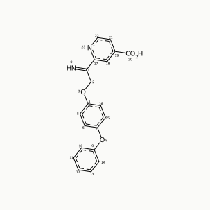 N=C(COc1ccc(Oc2ccccc2)cc1)c1cc(C(=O)O)ccn1